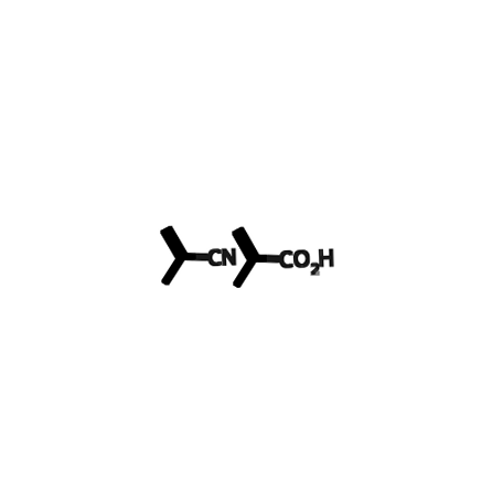 C=C(C)C#N.C=C(C)C(=O)O